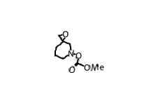 COC(=O)ON1CCCC2(CO2)C1